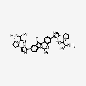 CC(C)C1Oc2cc(-c3ncc([C@@H]4CCCN4C(=O)[C@@H](N)C(C)C)[nH]3)ccc2-c2c(F)c3cc(-c4ncc([C@@H]5CCCN5C(=O)[C@@H](N)C(C)C)[nH]4)ccc3n21